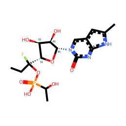 CCC(F)(OP(=O)(O)C(C)O)[C@H]1O[C@@H](n2cc3cc(C)[nH]c3nc2=O)[C@H](O)[C@@H]1O